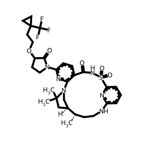 C[C@H]1CCNc2cccc(n2)S(=O)(=O)NC(=O)c2ccc(N3CCC(OCCC4(C(F)(F)F)CC4)C3=O)nc2N2C[C@@H]1CC2(C)C